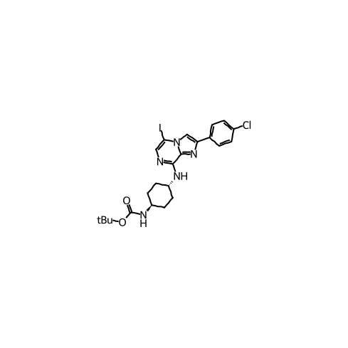 CC(C)(C)OC(=O)N[C@H]1CC[C@H](Nc2ncc(I)n3cc(-c4ccc(Cl)cc4)nc23)CC1